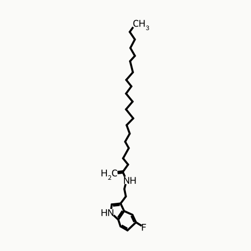 C=C(CCCCCCCCCCCCCCCCCCC)NCCc1c[nH]c2ccc(F)cc12